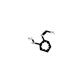 C/C=N\c1ccccc1NC